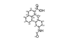 O=[C]Nc1ccc(Oc2c(C(=O)O)ccc3ccccc23)cc1